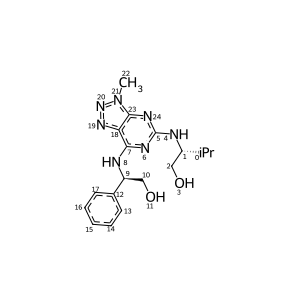 CC(C)[C@H](CO)Nc1nc(N[C@@H](CO)c2ccccc2)c2nnn(C)c2n1